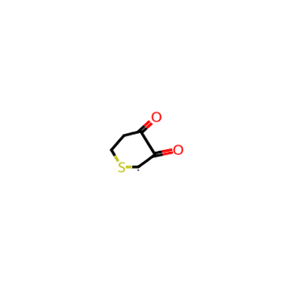 O=C1[CH]SCCC1=O